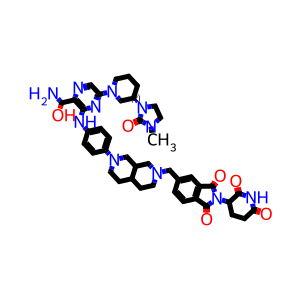 CN1CCN([C@@H]2CCCN(c3cnc(C(N)O)c(Nc4ccc(N5CCC6CCN(Cc7ccc8c(c7)C(=O)N(C7CCC(=O)NC7=O)C8=O)CC6C5)cc4)n3)C2)C1=O